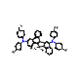 CC(C)c1ccc(N(c2ccc(C(C)C)cc2)c2ccc3c4c(c5ccccc5c3c2)-c2cc(N(c3ccc(C(C)C)cc3)c3ccc(C(C)C)cc3)c3ccccc3c2C4(C)C)cc1